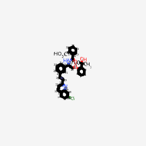 CC(C)(O)c1ccccc1OCC(NC(=O)c1ccccc1C(=O)O)c1cccc(/C=C/c2ccc3ccc(Cl)cc3n2)c1